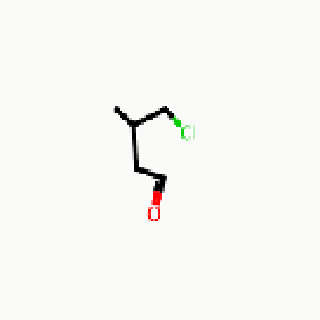 CC(CCl)CC=O